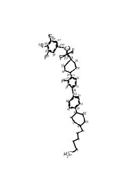 CCCCCCC1CCC(c2ccc(-c3ccc(C4CCC(C(F)(F)Oc5cc(F)c(F)c(F)c5)CC4)c(F)c3)cc2)CC1